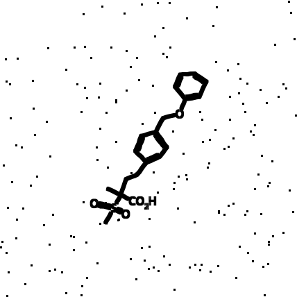 CC(CCc1ccc(COc2ccccc2)cc1)(C(=O)O)S(C)(=O)=O